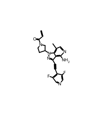 C=CC(=O)N1CCC(n2nc(C#Cc3c(F)cncc3F)c3c(N)ncc(C)c32)C1